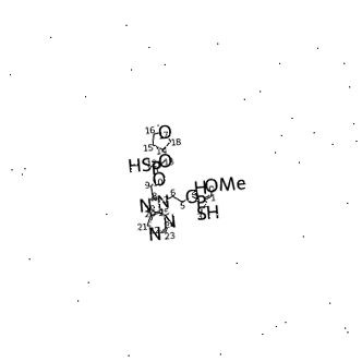 CO/C=[PH](/S)OCCn1c(COP(S)O[C@@H]2CCOC2)nc2cncnc21